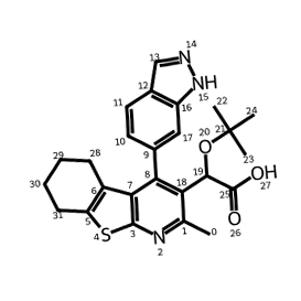 Cc1nc2sc3c(c2c(-c2ccc4cn[nH]c4c2)c1C(OC(C)(C)C)C(=O)O)CCCC3